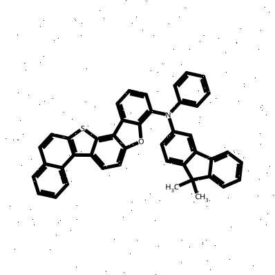 CC1(C)c2ccccc2-c2cc(N(c3ccccc3)c3cccc4c3oc3ccc5c(sc6ccc7ccccc7c65)c34)ccc21